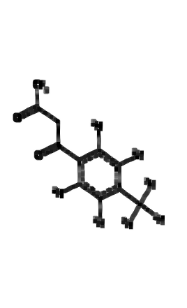 [2H]c1c([2H])c(C([2H])([2H])[2H])c([2H])c([2H])c1C(=O)CC(=O)C(F)(F)F